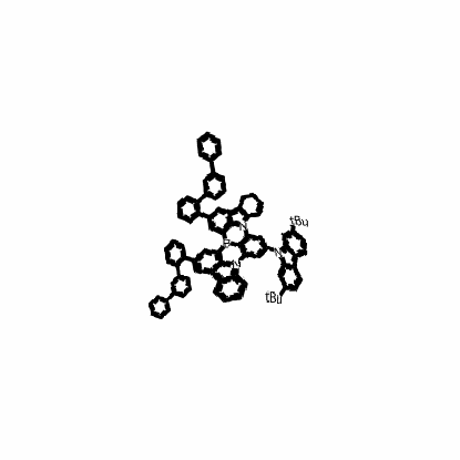 CC(C)(C)c1ccc2c3ccc(C(C)(C)C)cc3n(-c3cc4c5c(c3)-n3c6ccccc6c6cc(-c7ccccc7-c7cccc(-c8ccccc8)c7)cc(c63)B5c3cc(-c5ccccc5-c5cccc(-c6ccccc6)c5)cc5c6c(n-4c35)C=CCC6)c2c1